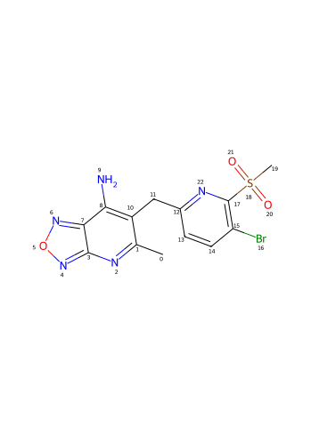 Cc1nc2nonc2c(N)c1Cc1ccc(Br)c(S(C)(=O)=O)n1